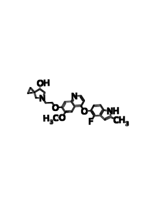 COc1cc2c(Oc3ccc4[nH]c(C)cc4c3F)ccnc2cc1OCCN1C[C@@H](O)C2(CC2)C1